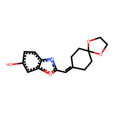 Oc1ccc2nc(C=C3CCC4(CC3)OCCO4)oc2c1